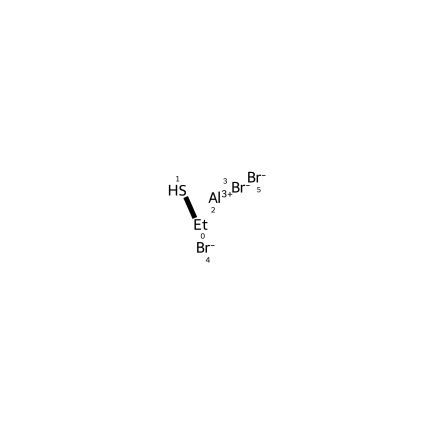 CCS.[Al+3].[Br-].[Br-].[Br-]